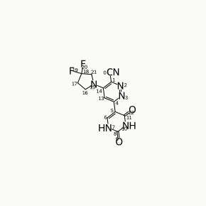 N#Cc1nnc(-c2c[nH]c(=O)[nH]c2=O)cc1N1CCC(F)(F)C1